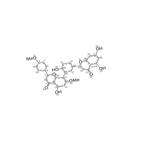 COc1ccc(-c2cc(=O)c3c(O)cc(OC)c(-c4cc(-c5cc(=O)c6c(O)cc(O)cc6o5)ccc4O)c3o2)cc1